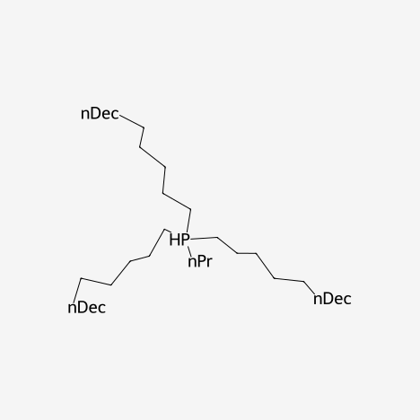 CCCCCCCCCCCCCCC[PH](CCC)(CCCCCCCCCCCCCCC)CCCCCCCCCCCCCCC